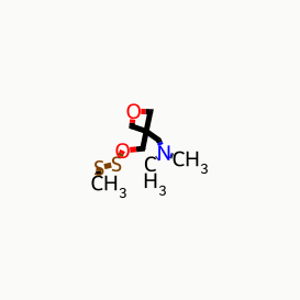 CSSOCC1(CN(C)C)COC1